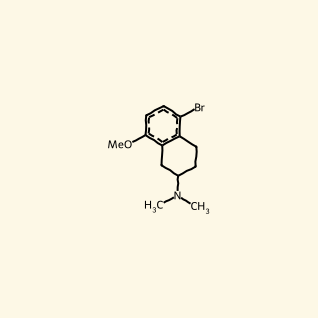 COc1ccc(Br)c2c1CC(N(C)C)CC2